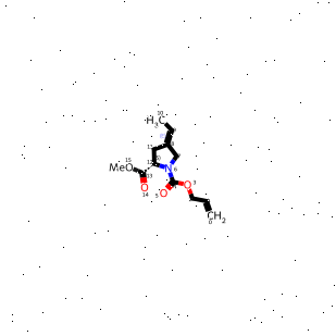 C=CCOC(=O)N1C/C(=C/C)C[C@H]1C(=O)OC